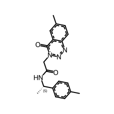 Cc1ccc([C@H](C)NC(=O)Cn2nnc3ccc(C)cc3c2=O)cc1